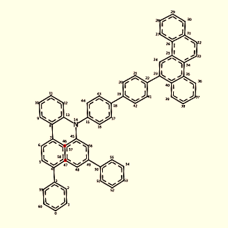 c1ccc(-c2ccc(-c3ccccc3N(c3ccc(-c4ccc(-c5cc6c7ccccc7ccc6c6ccccc56)cc4)cc3)c3cccc(-c4ccccc4)c3)cc2)cc1